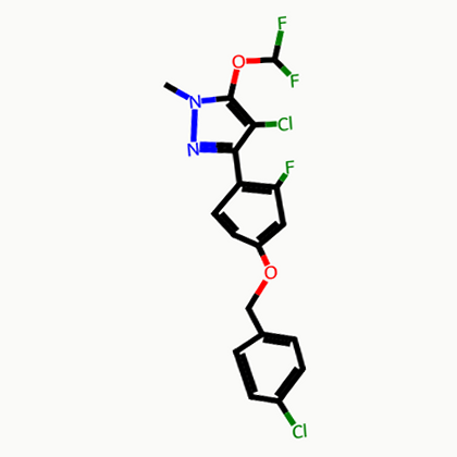 Cn1nc(-c2ccc(OCc3ccc(Cl)cc3)cc2F)c(Cl)c1OC(F)F